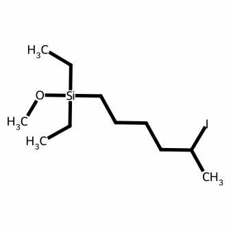 CC[Si](CC)(CCCCC(C)I)OC